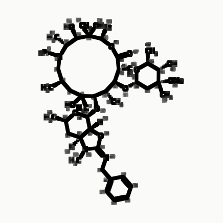 CCCN1C[C@H](C)C[C@@](C)(O)[C@H](O[C@@H]2O[C@H](C)C[C@H]3[C@H]2OC(=NCc2ccccc2)N3C)[C@@H](C)[C@H](O[C@H]2C[C@@](C)(OC)[C@@H](O)[C@H](C)O2)[C@@H](C)C(=O)O[C@H](CC)[C@@](C)(O)[C@H](O)[C@H]1C